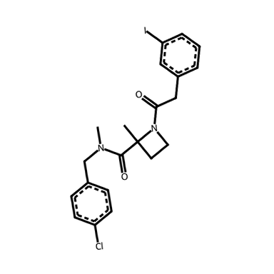 CN(Cc1ccc(Cl)cc1)C(=O)C1(C)CCN1C(=O)Cc1cccc(I)c1